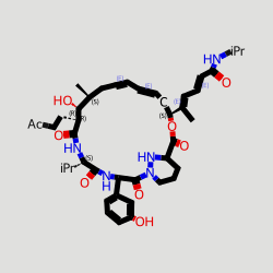 CC(=O)CC[C@H]1C(=O)N[C@@H](C(C)C)C(=O)NC(c2cccc(O)c2)C(=O)N2CCCC(N2)C(=O)O[C@H](/C(C)=C/C=C/C(=O)NC(C)C)C/C=C/C=C/C[C@H](C)[C@H]1O